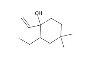 C=CC1(O)CCC(C)(C)CC1CC